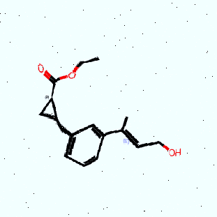 CCOC(=O)[C@@H]1CC1c1cccc(/C(C)=C/CO)c1